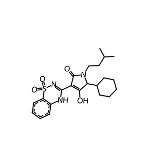 CC(C)CCN1C(=O)C(C2=NS(=O)(=O)c3ccccc3N2)=C(O)C1C1CCCCC1